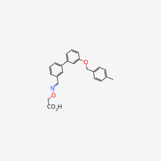 Cc1ccc(COc2cccc(-c3cccc(C=NOCC(=O)O)c3)c2)cc1